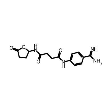 N=C(N)c1ccc(NC(=O)CCC(=O)NC2CCC(=O)O2)cc1